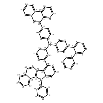 c1ccc(-c2ccccc2-c2ccc(N(c3ccc(-c4cc5ccccc5c5ccccc45)cc3)c3cccc(-c4cccc5c4c4ccc6ccccc6c4n5-c4ccccc4)c3)cc2)cc1